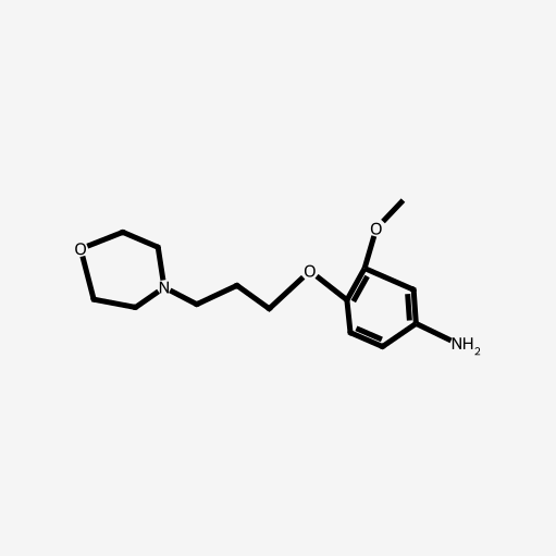 COc1cc(N)ccc1OCCCN1CCOCC1